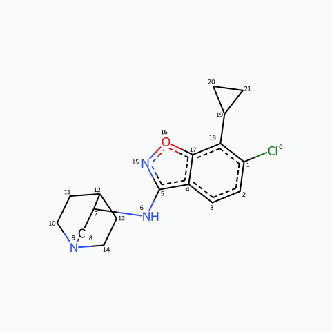 Clc1ccc2c(NC3CN4CCC3CC4)noc2c1C1CC1